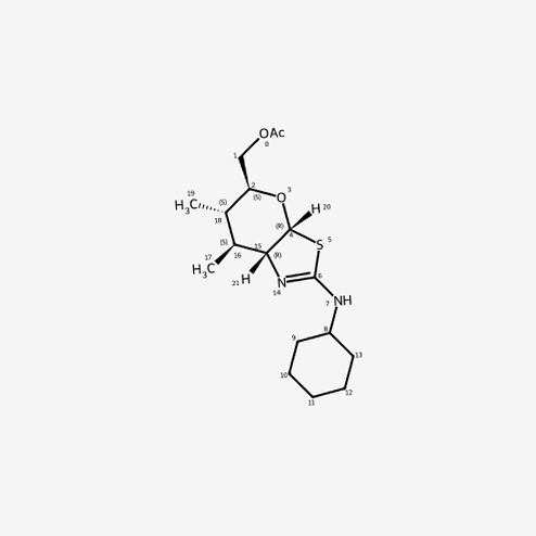 CC(=O)OC[C@H]1O[C@@H]2SC(NC3CCCCC3)=N[C@@H]2[C@@H](C)[C@@H]1C